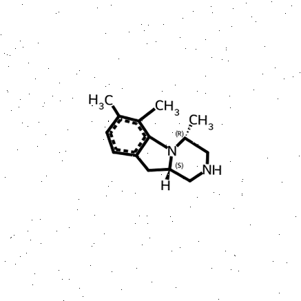 Cc1ccc2c(c1C)N1[C@H](CNC[C@H]1C)C2